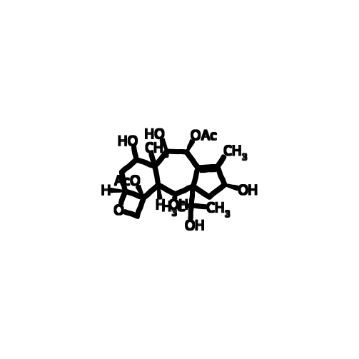 CC(=O)O[C@H]1C2=C(C)[C@@H](O)CC2(C(C)(C)O)[C@@H](O)[C@H]2C(C)(C(O)C[C@H]3OC[C@]32OC(C)=O)[C@H]1O